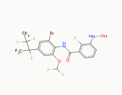 O=C(Nc1c(Br)cc(C(F)(C(F)(F)F)C(F)(F)C(F)(F)F)cc1OC(F)F)c1cccc(NO)c1F